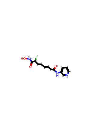 O=C(CCCCCC(F)C(=O)NO)Nc1cccnc1